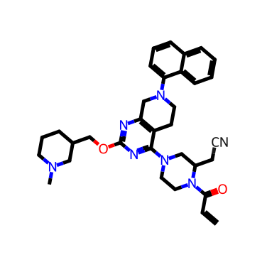 C=CC(=O)N1CCN(c2nc(OCC3CCCN(C)C3)nc3c2CCN(c2cccc4ccccc24)C3)CC1CC#N